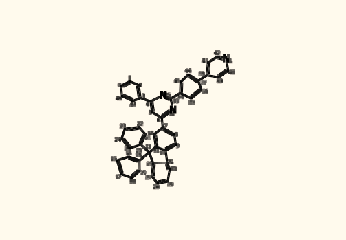 c1ccc(-c2cc(-c3ccc4c(c3)C(c3ccccc3)(c3ccccc3)c3ccccc3-4)nc(-c3ccc(-c4ccncc4)cc3)n2)cc1